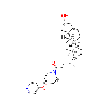 C[C@H](CCC(=O)N1CC[C@@H](Oc2ccncc2)C[C@@H]1C)[C@H]1CC[C@H]2[C@@H]3CC=C4C[C@@H](O)CC[C@]4(C)[C@H]3CC[C@]12C